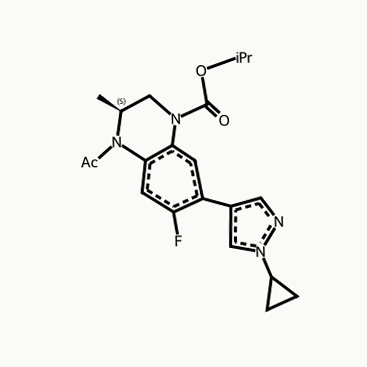 CC(=O)N1c2cc(F)c(-c3cnn(C4CC4)c3)cc2N(C(=O)OC(C)C)C[C@@H]1C